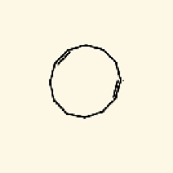 [C]1=CCCCCCC=CCCC1